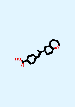 C/C(=C\c1ccc(C(=O)O)cc1)c1ccc2c(c1)CCCCO2